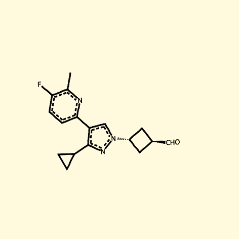 Cc1nc(-c2cn([C@H]3C[C@H](C=O)C3)nc2C2CC2)ccc1F